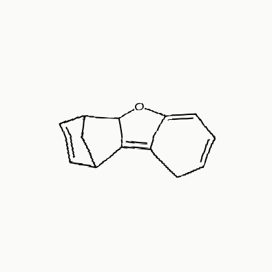 C1=CCC2=C3C4C=CC(C4)C3OC2=C1